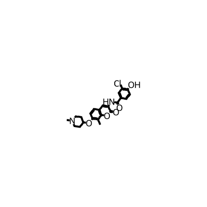 Cc1c(OC2CCN(C)CC2)ccc2cc(NC(=O)c3ccc(O)c(Cl)c3)c(=O)oc12